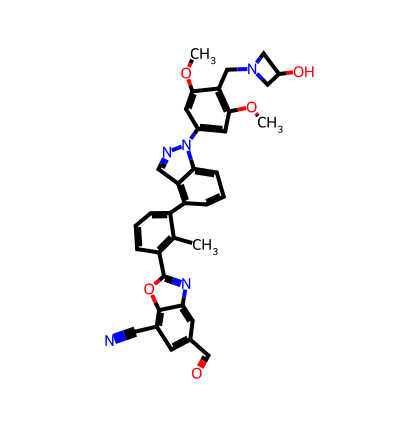 COc1cc(-n2ncc3c(-c4cccc(-c5nc6cc(C=O)cc(C#N)c6o5)c4C)cccc32)cc(OC)c1CN1CC(O)C1